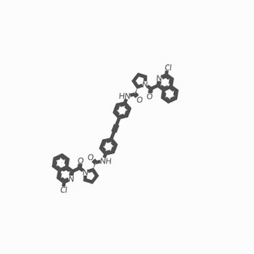 O=C(Nc1ccc(C#Cc2ccc(NC(=O)[C@@H]3CCCN3C(=O)c3nc(Cl)cc4ccccc34)cc2)cc1)[C@@H]1CCCN1C(=O)c1nc(Cl)cc2ccccc12